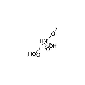 CCCOCCCCNC(CCCCCC(=O)O)C(CC)(CC)C(=O)O